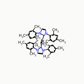 Cc1cc(C)c(N2C=CN(c3c(C)cc(C)cc3C)C2/B=B/C2N(c3c(C)cc(C)cc3C)C=CN2c2c(C)cc(C)cc2C)c(C)c1